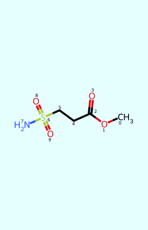 COC(=O)CCS(N)(=O)=O